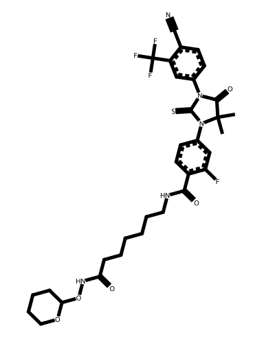 CC1(C)C(=O)N(c2ccc(C#N)c(C(F)(F)F)c2)C(=S)N1c1ccc(C(=O)NCCCCCCC(=O)NOC2CCCCO2)c(F)c1